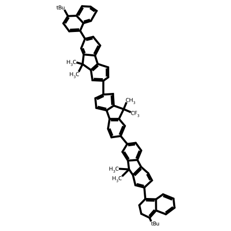 CC(C)(C)C1=c2ccccc2=C(c2ccc3c(c2)C(C)(C)c2cc(-c4ccc5c(c4)C(C)(C(F)(F)F)c4cc(-c6ccc7c(c6)C(C)(C)c6cc(-c8ccc(C(C)(C)C)c9ccccc89)ccc6-7)ccc4-5)ccc2-3)CC1